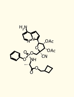 CC(=O)O[C@H]1[C@H](c2ccc3c(N)ccnn23)O[C@](C#N)(CO[P@@](=O)(N[C@@H](C)C(=O)OCC2CCC2)Oc2ccccc2)[C@H]1OC(C)=O